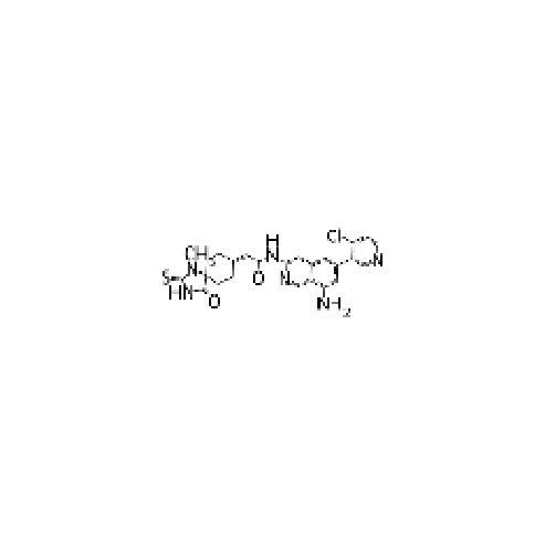 CN1C(=S)NC(=O)C12CCC(=CC(=O)Nc1cc3cc(-c4cnccc4Cl)cc(N)c3cn1)CC2